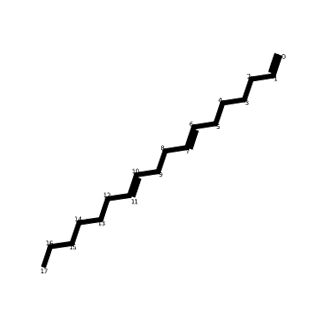 C=CCCCCC=CCCC=CCCCCCC